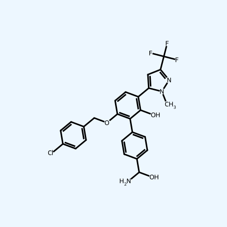 Cn1nc(C(F)(F)F)cc1-c1ccc(OCc2ccc(Cl)cc2)c(-c2ccc(C(N)O)cc2)c1O